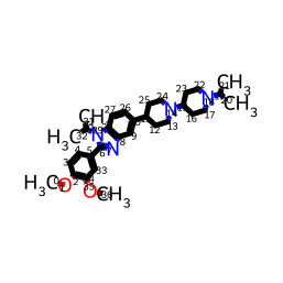 COc1ccc(-c2nc3cc(C4CCN(C5CCN(C(C)C)CC5)CC4)ccc3n2C(C)C)cc1OC